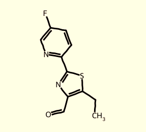 CCc1sc(-c2ccc(F)cn2)nc1C=O